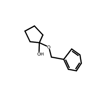 OC1(OCc2ccccc2)CCCC1